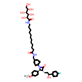 COc1ccc([C@@H]2[C@@H](CC[C@H](O)c3ccc(F)cc3)C(=O)N2c2ccc(CNC(=O)CCCCCCCCCCCNC(=O)[C@H](O)[C@@H](O)[C@H](O)[C@H](O)CO)cc2)cc1